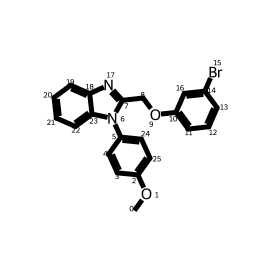 COc1ccc(-n2c(COc3cccc(Br)c3)nc3ccccc32)cc1